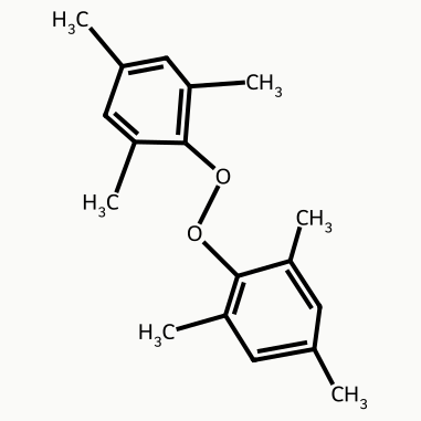 Cc1cc(C)c(OOc2c(C)cc(C)cc2C)c(C)c1